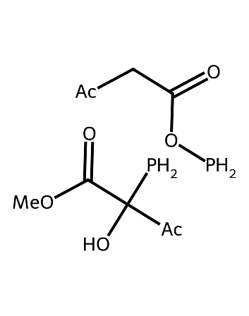 CC(=O)CC(=O)OP.COC(=O)C(O)(P)C(C)=O